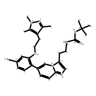 Cc1nn(C)c(C)c1CCOc1cc(F)ccc1-c1ccc2ncc(CCNC(=O)OC(C)(C)C)n2c1